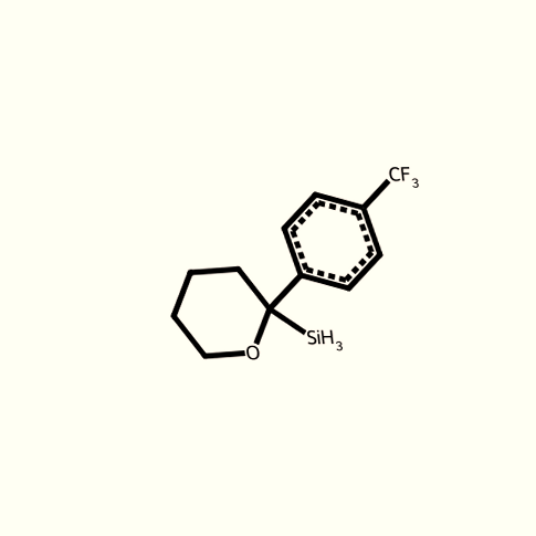 FC(F)(F)c1ccc(C2([SiH3])CCCCO2)cc1